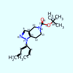 C=C/C=C(\C=C/C)n1ncc2c1CCN(C(=O)OC(C)(C)C)C2